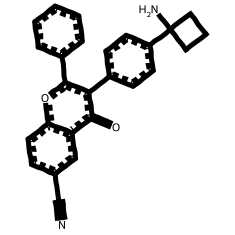 N#Cc1ccc2oc(-c3ccccc3)c(-c3ccc(C4(N)CCC4)cc3)c(=O)c2c1